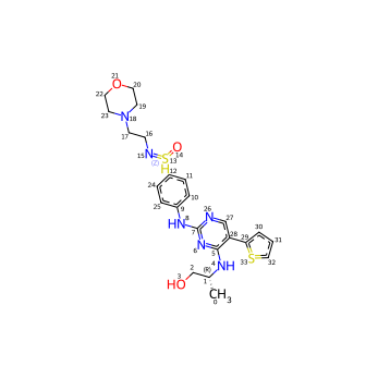 C[C@H](CO)Nc1nc(Nc2ccc(/[SH](=O)=N/CCN3CCOCC3)cc2)ncc1-c1cccs1